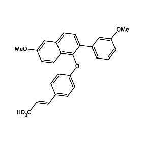 COc1cccc(-c2ccc3cc(OC)ccc3c2Oc2ccc(C=CC(=O)O)cc2)c1